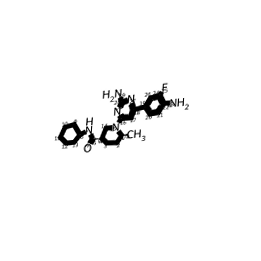 C[C@@H]1CC[C@H](C(=O)NC2CCCCC2)CN1c1cc(-c2ccc(N)c(F)c2)nc(N)n1